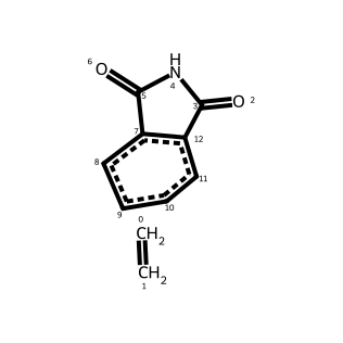 C=C.O=C1NC(=O)c2ccccc21